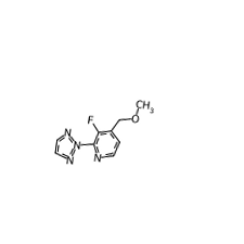 COCc1ccnc(-n2nccn2)c1F